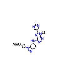 CCn1c(-c2cnc(C)nc2)nc2c(NC3CCc4ncn(C5CC(OC)C5)c4C3)ncnc21